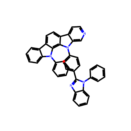 c1ccc(-n2c(-c3ccc(-n4c5cnccc5c5ccc6c7ccccc7n(-c7ccccc7)c6c54)cc3)nc3ccccc32)cc1